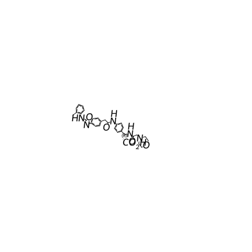 Cc1ccccc1Nc1nc2ccc(CC(=O)Nc3ccc([C@@H](CC(=O)O)NC(=O)CN4CCOCC4)cc3)cc2o1